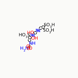 NOS(=O)(=O)CCNc1ccc2cc(S(=O)(=O)O)c(/N=N/c3ccc(/N=N/c4ccc5cc(S(=O)(=O)O)cc(S(=O)(=O)O)c5c4)cc3O)c(O)c2c1